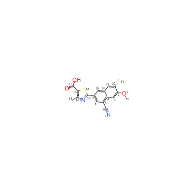 COc1cc2c(C#N)cc(-c3nc(C)c(C(=O)O)s3)cc2cc1F